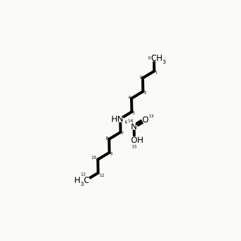 CCCCCCNCCCCCC.O=NO